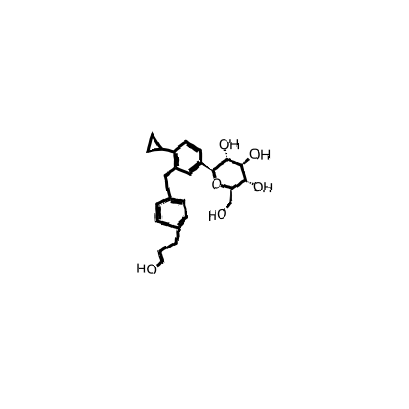 OCCCc1ccc(Cc2cc([C@@H]3O[C@H](CO)[C@@H](O)[C@H](O)[C@H]3O)ccc2C2CC2)cc1